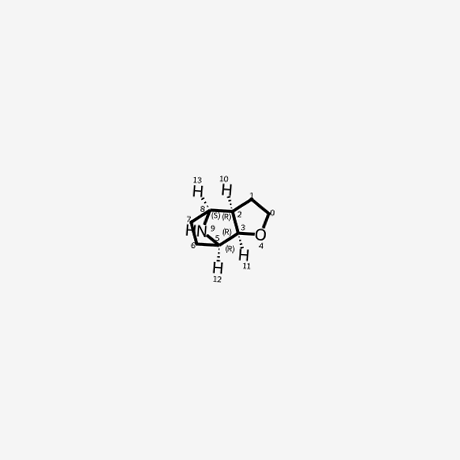 C1C[C@H]2[C@@H](O1)[C@H]1CC[C@@H]2N1